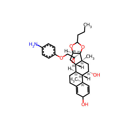 CCCC1O[C@@H]2C[C@H]3[C@@H]4CCC5=CC(O)C=C[C@]5(C)[C@H]4[C@@H](O)C[C@]3(C)[C@]2(C(=O)COc2ccc(N)cc2)O1